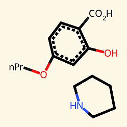 C1CCNCC1.CCCOc1ccc(C(=O)O)c(O)c1